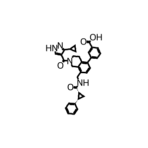 O=C(O)c1cccc(-c2ccc(CNC(=O)[C@@H]3C[C@@H]3c3ccccc3)c3c2CCN(C(=O)c2c[nH]nc2C2CC2)C3)c1